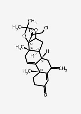 C=C1C[C@@H]2C(=CC[C@@]3(C)[C@H]2CC2OC(C)(C)O[C@]23C(=O)CCl)[C@@]2(C)CCC(=O)C=C12